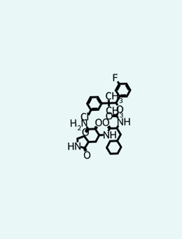 CC(C)(c1cccc(Cl)c1)C(OC(=O)NC(CC1CCCCC1)C(=O)NC(CC1CCNC1=O)C(=O)C(N)=O)c1cccc(F)c1